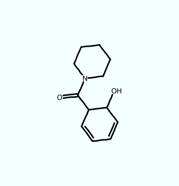 O=C(C1C=CC=CC1O)N1CCCCC1